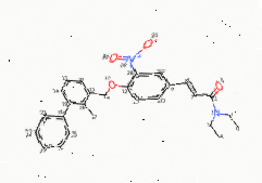 CCN(CC)C(=O)C=Cc1ccc(OCc2cccc(-c3ccccc3)c2C)c([N+](=O)[O-])c1